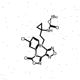 CC(C)(C)OC(=O)NC1(CCNc2nonc2-c2noc(=O)n2-c2cccc(Cl)c2)CC1